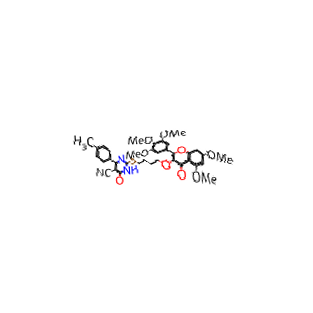 COc1cc(OC)c2c(=O)c(OCCCCSc3nc(-c4ccc(C)cc4)c(C#N)c(=O)[nH]3)c(-c3cc(OC)c(OC)c(OC)c3)oc2c1